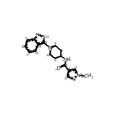 Cn1cc(C(=O)NC2CCN(c3snc4ccccc34)CC2)cn1